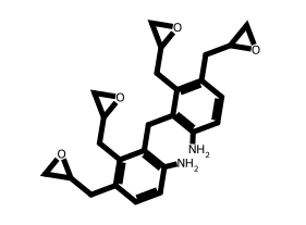 Nc1ccc(CC2CO2)c(CC2CO2)c1Cc1c(N)ccc(CC2CO2)c1CC1CO1